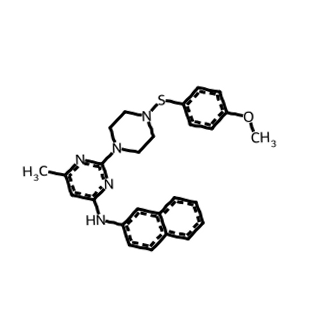 COc1ccc(SN2CCN(c3nc(C)cc(Nc4ccc5ccccc5c4)n3)CC2)cc1